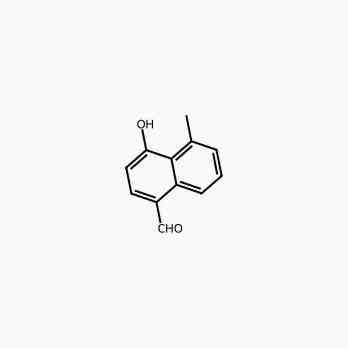 Cc1cccc2c(C=O)ccc(O)c12